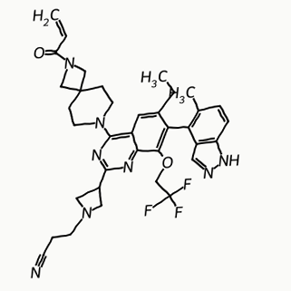 C=CC(=O)N1CC2(CCN(c3nc(C4CN(CCC#N)C4)nc4c(OCC(F)(F)F)c(-c5c(C)ccc6[nH]ncc56)c(CC)cc34)CC2)C1